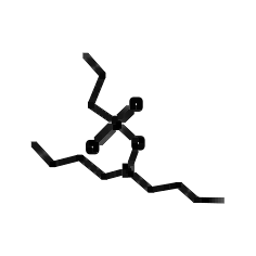 CCCCN(CCCC)OS(=O)(=O)CCC